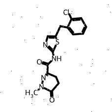 CN1N=C(C(=O)Nc2ncc(Cc3ccccc3Cl)s2)CCC1=O